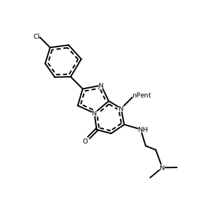 CCCCCn1c(NCCN(C)C)cc(=O)n2cc(-c3ccc(Cl)cc3)nc12